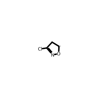 ClC1=NO[C]C1